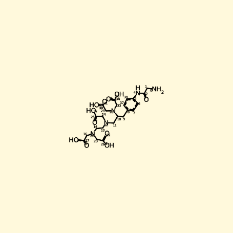 NCC(=O)Nc1ccc(CC(CN(CCN(CC(=O)O)CC(=O)O)CC(=O)O)N(CC(=O)O)CC(=O)O)cc1